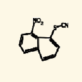 N#CSc1cccc2cccc([N+](=O)[O-])c12